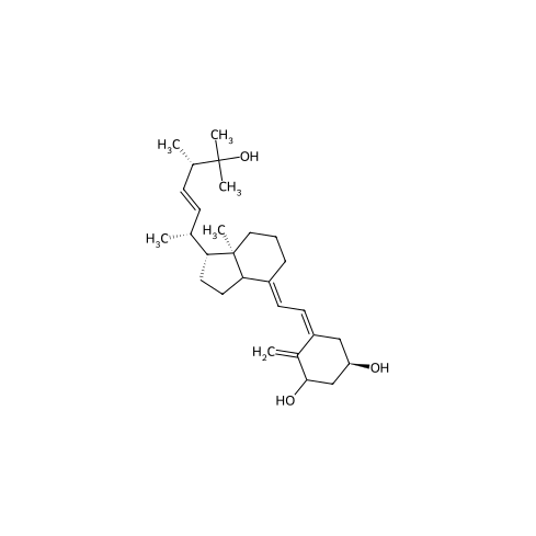 C=C1C(=CC=C2CCC[C@@]3(C)C2CC[C@@H]3[C@H](C)/C=C/[C@H](C)C(C)(C)O)C[C@@H](O)CC1O